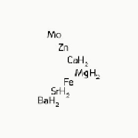 [BaH2].[CaH2].[Fe].[MgH2].[Mo].[SrH2].[Zn]